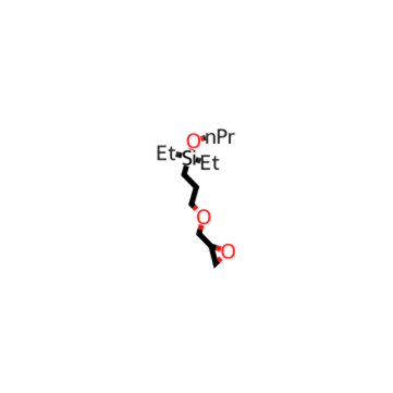 CCCO[Si](CC)(CC)CCCOCC1CO1